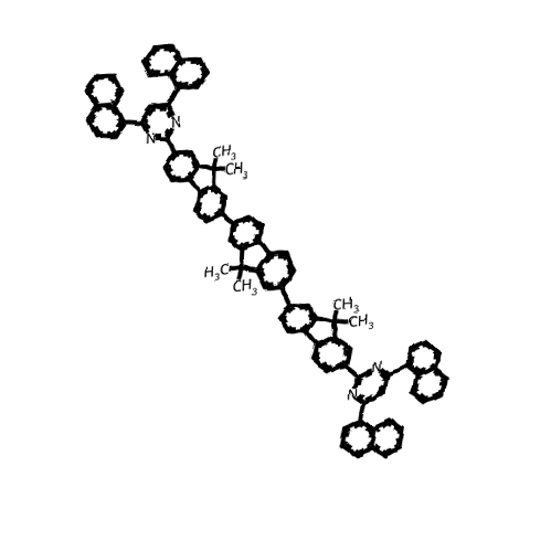 CC1(C)c2cc(-c3ccc4c(c3)C(C)(C)c3cc(-c5nc(-c6cccc7ccccc67)cc(-c6cccc7ccccc67)n5)ccc3-4)ccc2-c2ccc(-c3ccc4c(c3)C(C)(C)c3cc(-c5nc(-c6cccc7ccccc67)cc(-c6cccc7ccccc67)n5)ccc3-4)cc21